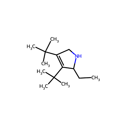 CCC1NCC(C(C)(C)C)=C1C(C)(C)C